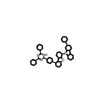 c1ccc(C2=NC(c3ccc(-c4cccc5oc6c(-n7c8ccccc8c8ccc(-c9ccccc9)cc87)cccc6c45)cc3)NC(c3ccccc3)=N2)cc1